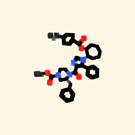 CC(C)(C)OC(=O)N1CCN(C(=O)c2ncn([C@H]3CCCCC[C@H]3OC(=O)c3ccc([N+](=O)[O-])cc3)c2-c2ccccc2)[C@H](Cc2ccccc2)C1